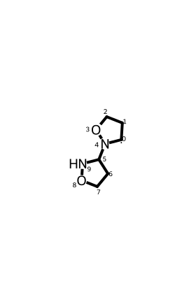 [CH]1CCON1C1CCON1